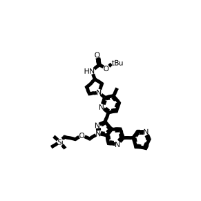 Cc1ccc(-c2nn(COCC[Si](C)(C)C)c3cnc(-c4cccnc4)cc23)nc1N1CCC(NC(=O)OC(C)(C)C)C1